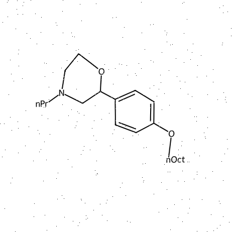 [CH2]CCN1CCOC(c2ccc(OCCCCCCCC)cc2)C1